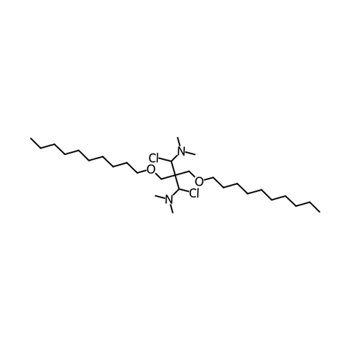 CCCCCCCCCCOCC(COCCCCCCCCCC)(C(Cl)N(C)C)C(Cl)N(C)C